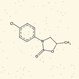 CC1CN(c2ccc(Cl)cc2)C(=O)O1